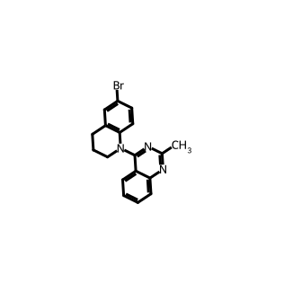 Cc1nc(N2CCCc3cc(Br)ccc32)c2ccccc2n1